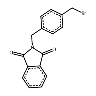 O=C1c2ccccc2C(=O)N1Cc1ccc(CBr)cc1